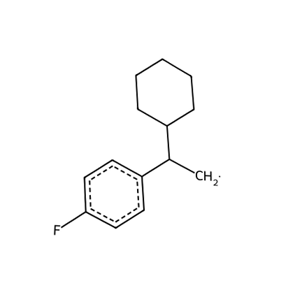 [CH2]C(c1ccc(F)cc1)C1CCCCC1